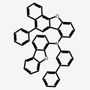 c1ccc(-c2cccc(N(c3cccc4c3oc3ccccc34)c3cccc4oc5c6ccccc6c(-c6ccccc6)cc5c34)c2)cc1